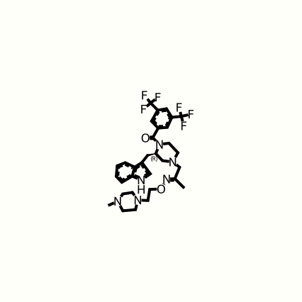 CC(CN1CCN(C(=O)c2cc(C(F)(F)F)cc(C(F)(F)F)c2)[C@H](Cc2c[nH]c3ccccc23)C1)=NOCCN1CCN(C)CC1